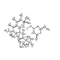 [2H]O[C@H]1CC(=O)OC(CC[C@@H]2[C@@H]3C(=C([2H])[C@]([2H])(C)C([2H])([2H])C3OC(=O)C(CC)(C([2H])([2H])[2H])C([2H])([2H])[2H])C([2H])=C([2H])[C@]2([2H])C)C1